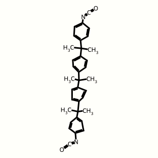 CC(C)(c1ccc(N=C=O)cc1)c1ccc(C(C)(C)c2ccc(C(C)(C)c3ccc(N=C=O)cc3)cc2)cc1